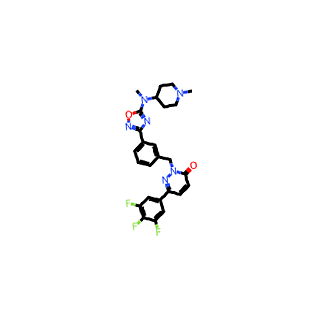 CN1CCC(N(C)c2nc(-c3cccc(Cn4nc(-c5cc(F)c(F)c(F)c5)ccc4=O)c3)no2)CC1